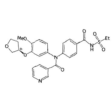 CCS(=O)(=O)NC(=O)c1ccc(N(C(=O)c2cccnc2)c2ccc(OC)c(O[C@@H]3CCOC3)c2)cc1